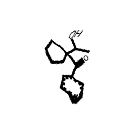 CC(O)C1(C(=O)c2ccccc2)CCCCC1